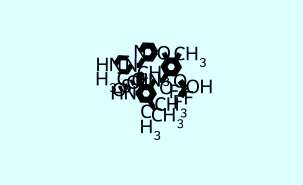 COc1c(NC(=O)c2ccc(C)c(Oc3ccnc(CN4CCNCC4)c3)c2)cc(C(C)(C)C)cc1NS(C)(=O)=O.O=C(O)C(F)(F)F